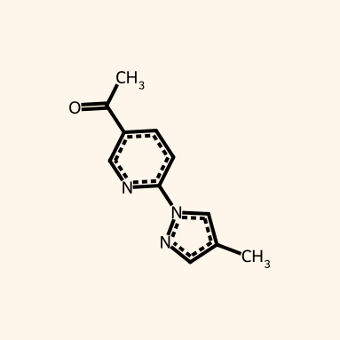 CC(=O)c1ccc(-n2cc(C)cn2)nc1